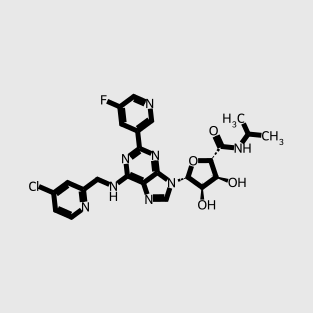 CC(C)NC(=O)[C@H]1O[C@@H](n2cnc3c(NCc4cc(Cl)ccn4)nc(-c4cncc(F)c4)nc32)[C@H](O)[C@@H]1O